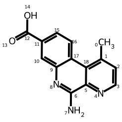 Cc1ccnc2c(N)nc3cc(C(=O)O)ccc3c12